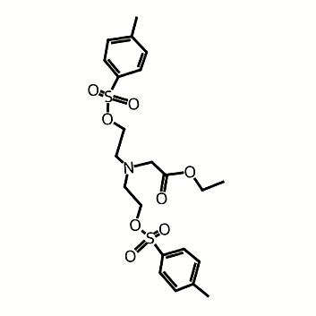 CCOC(=O)CN(CCOS(=O)(=O)c1ccc(C)cc1)CCOS(=O)(=O)c1ccc(C)cc1